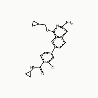 Nc1nc(OCC2CC2)c2cc(-c3ccc(C(=O)NC4CC4)c(Cl)c3)ccc2n1